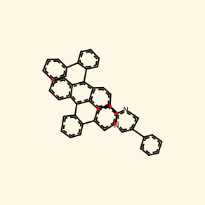 c1ccc(-c2cnc(-c3ccc4c(-c5ccccc5-c5ccccc5)c5ccccc5c(-c5ccccc5-c5ccccc5)c4c3)nc2)cc1